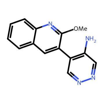 COc1nc2ccccc2cc1-c1cnncc1N